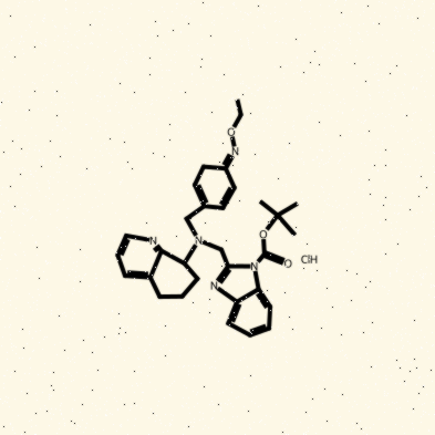 CCON=C1C=CC(CN(Cc2nc3ccccc3n2C(=O)OC(C)(C)C)C2CCCc3cccnc32)=CC1.Cl